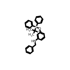 CC(C)(C)[Si](Oc1cccc(NCc2ccccc2)c1)(c1ccccc1)c1ccccc1